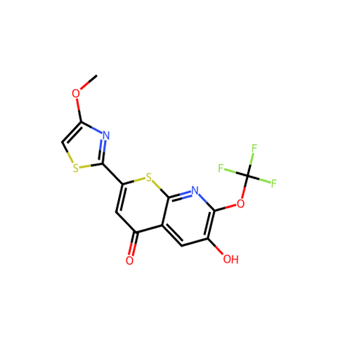 COc1csc(-c2cc(=O)c3cc(O)c(OC(F)(F)F)nc3s2)n1